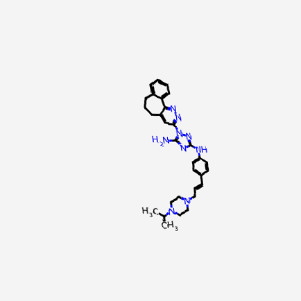 CC(C)N1CCN(CC=Cc2ccc(Nc3nc(N)n(-c4cc5c(nn4)-c4ccccc4CCC5)n3)cc2)CC1